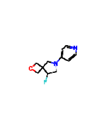 FC1CN(c2ccncc2)CC12COC2